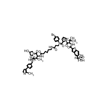 CC1=C(c2ccc(CNC(=O)[C@@H]3C[C@@H](O)CN3C(=O)C(NC(=O)CCCCCNC(=O)CCN(C(=O)C3CCCN3C(=O)C(NC(=O)c3cc4cc(C(F)(F)P(=O)(O)O)ccc4s3)C(C)(C)C)c3ccc(Br)cc3)C(C)(C)C)cc2)CC=N1